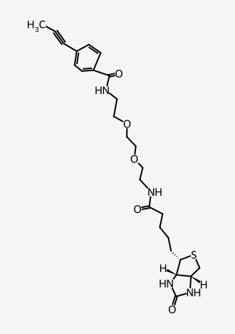 CC#Cc1ccc(C(=O)NCCOCCOCCNC(=O)CCCC[C@@H]2SC[C@@H]3NC(=O)N[C@@H]32)cc1